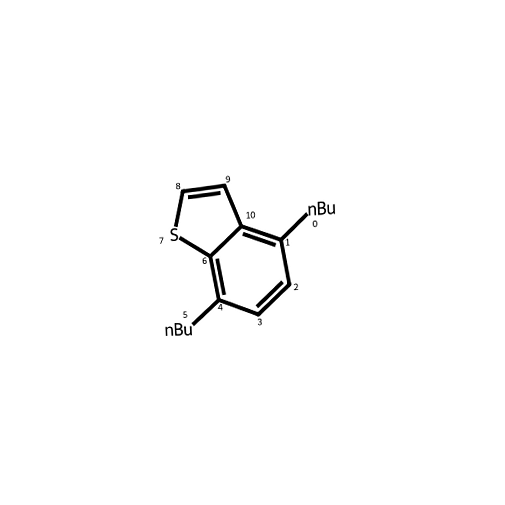 CCCCc1ccc(CCCC)c2sccc12